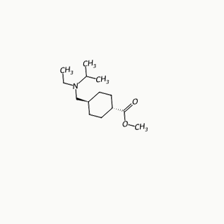 CCN(C[C@H]1CC[C@H](C(=O)OC)CC1)C(C)C